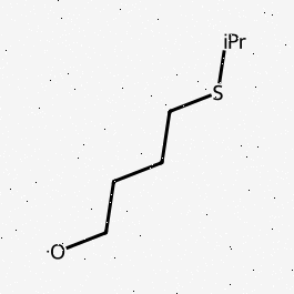 CC(C)SCCCC[O]